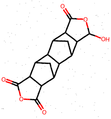 O=C1OC(=O)C2C3CC(C12)C1C2CC(C4C(O)OC(=O)C24)C31